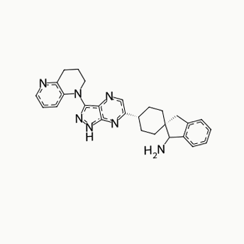 NC1c2ccccc2C[C@]12CC[C@@H](c1cnc3c(N4CCCc5ncccc54)n[nH]c3n1)CC2